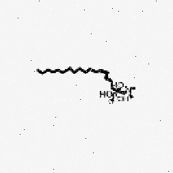 CCCCCCCCCCCC/C=C\CCCC(O)(C[N+](C)(C)C)P(=O)(O)O